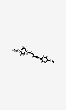 CCCc1ccc(C#C/C=C/C#Cc2ccc(OC)cc2)cc1